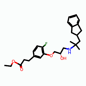 CCOC(=O)CCc1ccc(F)c(OC[C@@H](O)CNC(C)(C)CC2Cc3ccccc3C2)c1